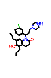 C=CCc1cc2c(c(CC=C)c1O)CCC(=O)N2C(CCN1CCNCC1)c1cccc(Cl)c1